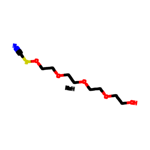 N#CSOCCOCCOCCOCCO.[NaH]